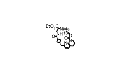 CCOC(=O)[C@H](CNC(=O)[C@H]1C[C@@H](Cc2ccc3c(n2)N(C(=O)OC(C)(C)C)CCC3)C1)NC